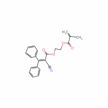 C=C(C)C(=O)OCCOC(=O)C(C#N)=C(c1ccccc1)c1ccccc1